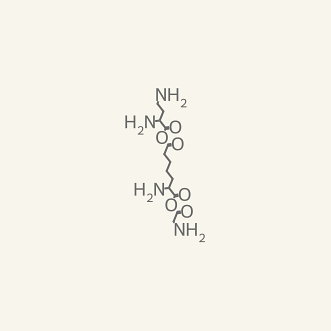 NCCC(N)C(=O)OC(=O)CCCCC(N)C(=O)OC(=O)CN